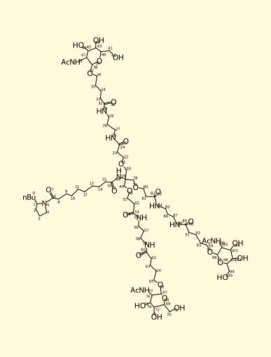 CCCC[C@@H]1CCCN1C(=O)CCCCCCCCC(=O)NC(COCCC(=O)NCCCNC(=O)CCCCOC1OC(CO)C(O)C(O)C1NC(C)=O)(COCCC(=O)NCCCNC(=O)CCCCOC1OC(CO)C(O)C(O)C1NC(C)=O)COCCC(=O)NCCCNC(=O)CCCCOC1OC(CO)C(O)C(O)C1NC(C)=O